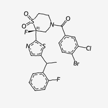 CC(c1cnc([C@@]2(F)CN(C(=O)c3ccc(Br)c(Cl)c3)CCS2(=O)=O)s1)c1ccccc1F